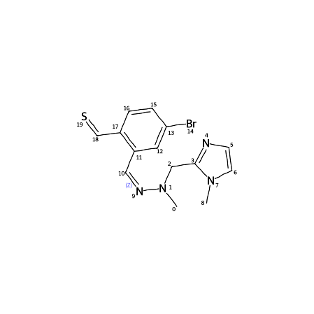 CN(Cc1nccn1C)/N=C\c1cc(Br)ccc1C=S